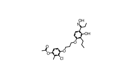 CCCc1c(OCCCOc2ccc(OC(C)=O)c(C)c2Cl)ccc(C(CC)=NO)c1O